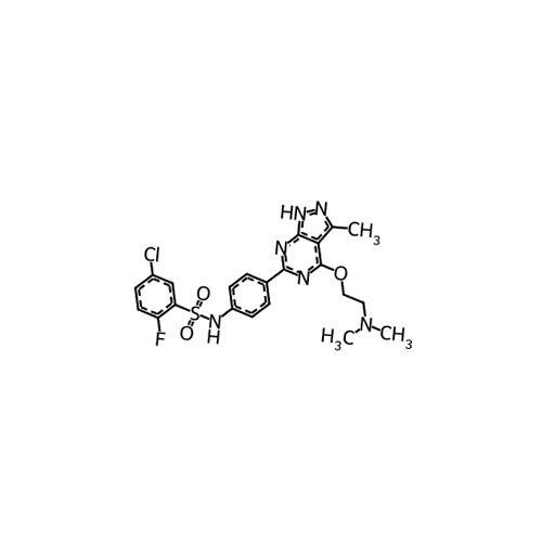 Cc1n[nH]c2nc(-c3ccc(NS(=O)(=O)c4cc(Cl)ccc4F)cc3)nc(OCCN(C)C)c12